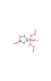 CCOP(=O)(OCC)[C@@H]1CCC(=O)C1